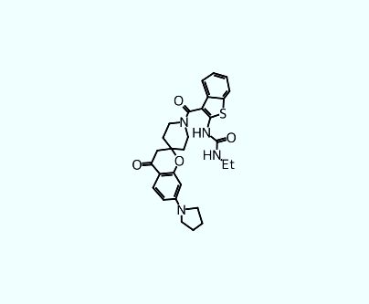 CCNC(=O)Nc1sc2ccccc2c1C(=O)N1CCC2(CC1)CC(=O)c1ccc(N3CCCC3)cc1O2